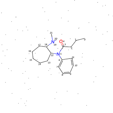 CCCC(=O)N(c1ccccc1)C1CCCCCC1N(C)C